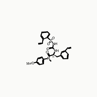 C=Cc1cccc(C[C@H](NC(=O)NS(=O)(=O)c2ccccc2C=C)C(=O)N(C)c2ccc(OC)cc2)c1